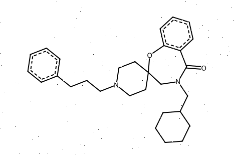 O=C1c2ccccc2OC2(CCN(CCCc3ccccc3)CC2)CN1CC1CCCCC1